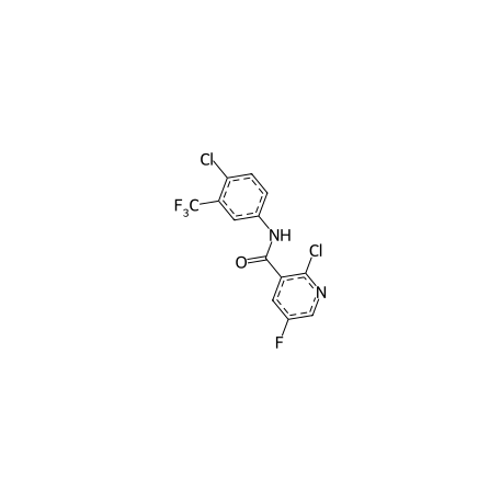 O=C(Nc1ccc(Cl)c(C(F)(F)F)c1)c1cc(F)cnc1Cl